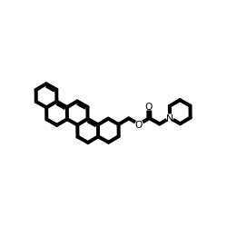 O=C(CN1CCCCC1)OCC1CCC2CCC3C(=C2C1)C=CC1=C2C=CCCC2CCC13